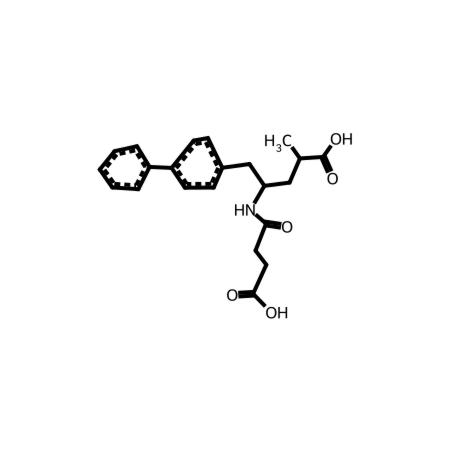 CC(CC(Cc1ccc(-c2ccccc2)cc1)NC(=O)CCC(=O)O)C(=O)O